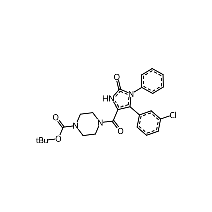 CC(C)(C)OC(=O)N1CCN(C(=O)c2[nH]c(=O)n(-c3ccccc3)c2-c2cccc(Cl)c2)CC1